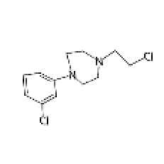 ClCCN1CCN(c2cccc(Cl)c2)CC1